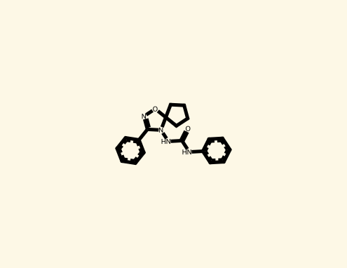 O=C(Nc1ccccc1)NN1C(c2ccccc2)=NOC12CCCC2